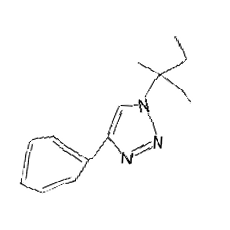 CCC(C)(C)n1cc(-c2ccccc2)nn1